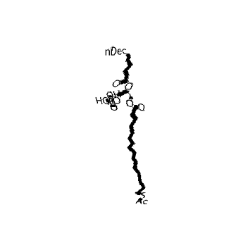 CCCCCCCCCCCCCCCC(=O)O[C@H](COC(=O)CCCCCCCCCCCCCCCSC(C)=O)COP(=O)(O)O